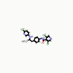 O=C(Nc1ccc(CC(Nc2ccc(Cl)nc2)C(=O)O)cc1)c1c(Cl)cncc1Cl